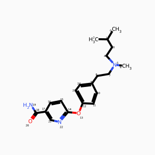 CC(C)CCN(C)CCc1ccc(Oc2ccc(C(N)=O)cn2)cc1